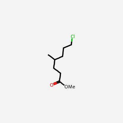 COC(=O)CCC(C)CCCCl